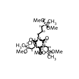 CO[Si](C)(C)Cn1c(=O)n(CCC[Si](C)(OC)OC)c(=O)n(C[Si](C)(OC)OC)c1=O